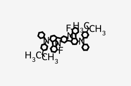 CC(C)c1ccc(N(c2ccccc2)c2ccc3c4cc5c(cc4n4c6c(F)cccc6c2c34)c2ccc(N(c3ccccc3)c3ccc(C(C)C)cc3)c3c4cccc(F)c4n5c23)cc1